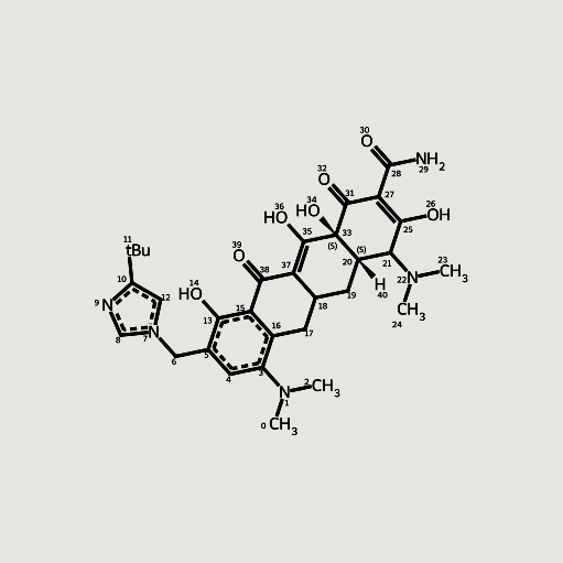 CN(C)c1cc(Cn2cnc(C(C)(C)C)c2)c(O)c2c1CC1C[C@H]3C(N(C)C)C(O)=C(C(N)=O)C(=O)[C@@]3(O)C(O)=C1C2=O